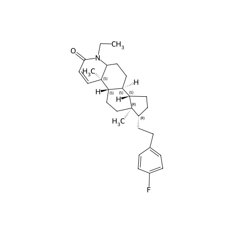 CCN1C(=O)C=C[C@@]2(C)C1CC[C@H]1[C@@H]3CC[C@H](CCc4ccc(F)cc4)[C@@]3(C)CC[C@@H]12